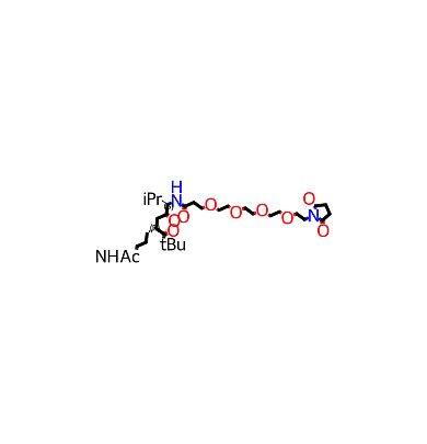 CC(=O)NCCC[C@H](CC(=O)[C@@H](NC(=O)CCOCCOCCOCCOCCN1C(=O)CCC1=O)C(C)C)C(=O)C(C)(C)C